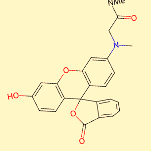 CNC(=O)CN(C)c1ccc2c(c1)Oc1cc(O)ccc1C21OC(=O)c2ccccc21